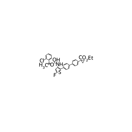 CCOC(=O)C1(c2ccc(-c3ccc(-c4sc(F)cc4NC(O)O[C@H](C)c4ccccc4Cl)cc3)cc2)CC1